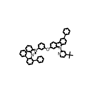 CC(C)(C)c1ccnc(-n2c3ccc(-c4ccccc4)cc3c3ccc(Oc4cccc(-n5c[n+](-c6c(-c7ccccc7)cccc6-c6ccccc6)c6ccccc65)c4)cc32)c1